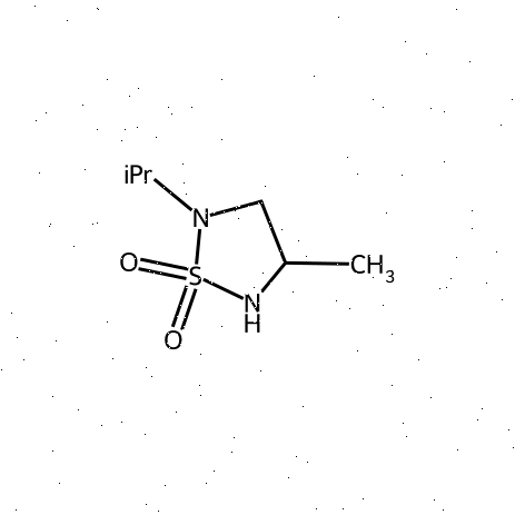 CC1CN(C(C)C)S(=O)(=O)N1